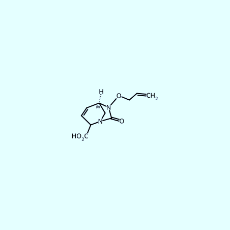 C=CCON1C(=O)N2C[C@H]1C=CC2C(=O)O